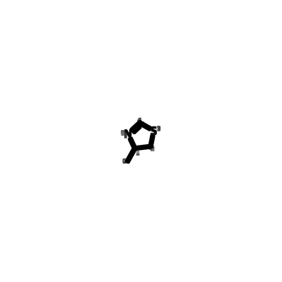 CC1[CH]S[C]=N1